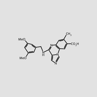 COc1cc(CNc2nc3cc(C)c(C(=O)O)cc3n3cncc23)cc(OC)c1